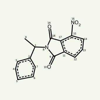 CC(c1ccccc1)N1C(=O)c2cccc([N+](=O)[O-])c2C1=O